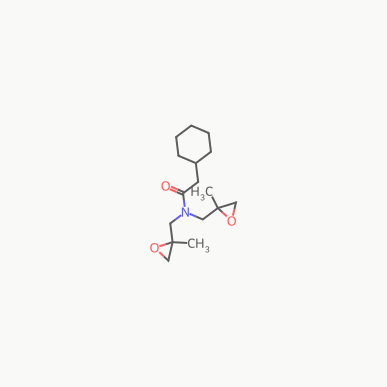 CC1(CN(CC2(C)CO2)C(=O)CC2CCCCC2)CO1